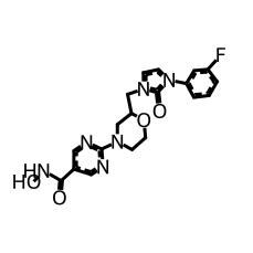 O=C(NO)c1cnc(N2CCOC(Cn3ccn(-c4cccc(F)c4)c3=O)C2)nc1